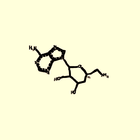 NC[C@H]1CC(O)C(O)C(n2cnc3c(N)ncnc32)O1